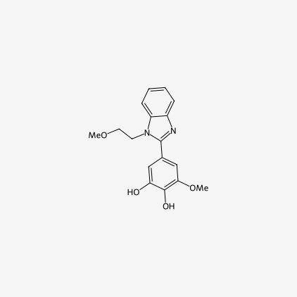 COCCn1c(-c2cc(O)c(O)c(OC)c2)nc2ccccc21